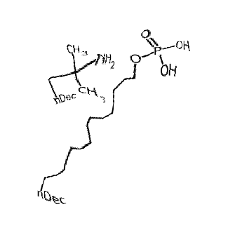 CCCCCCCCCCCC(C)(C)N.CCCCCCCCCCCCCCCCCCOP(=O)(O)O